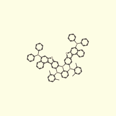 Cc1cccc(C)c1N1c2cc3c(cc2B2c4cc5oc6cc(N(c7ccccc7)c7ccccc7)c7ccccc7c6c5cc4N(c4c(C)cccc4C)c4cccc1c42)oc1cc(N(c2ccccc2)c2ccccc2)c2ccccc2c13